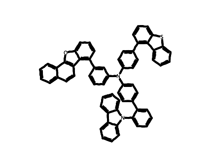 c1cc(-c2cccc3oc4c5ccccc5ccc4c23)cc(N(c2ccc(-c3ccccc3-n3c4ccccc4c4ccccc43)cc2)c2ccc(-c3cccc4sc5ccccc5c34)cc2)c1